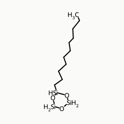 CCCCCCCCCCC[SiH]1O[SiH2]O[SiH2]O1